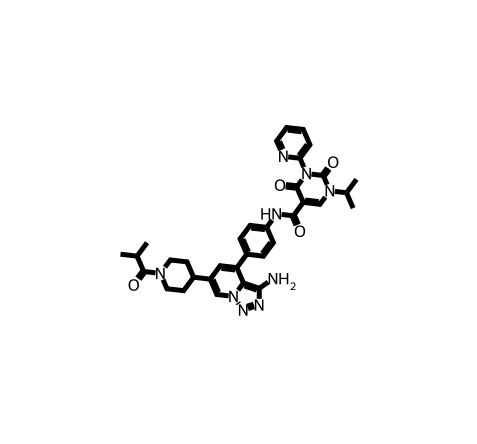 CC(C)C(=O)N1CCC(c2cc(-c3ccc(NC(=O)c4cn(C(C)C)c(=O)n(-c5ccccn5)c4=O)cc3)c3c(N)nnn3c2)CC1